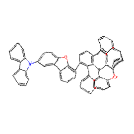 c1ccc(-c2ccc(-c3cccc4c3oc3ccc(-n5c6ccccc6c6ccccc65)cc34)c(-c3ccccc3)c2B2c3ccccc3Oc3ccccc32)cc1